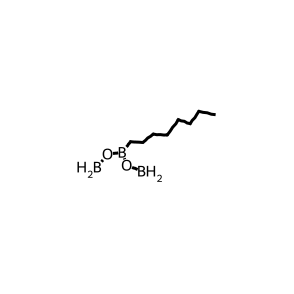 BOB(CCCCCCCC)OB